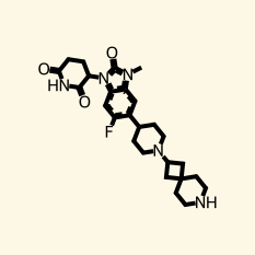 Cn1c(=O)n(C2CCC(=O)NC2=O)c2cc(F)c(C3CCN(C4CC5(CCNCC5)C4)CC3)cc21